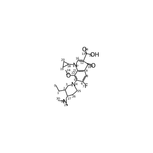 CCC1CN(c2c(F)cc3c(=O)c(C(=O)O)cn(C4CC4)c3c2OC)CCC1N(C)C